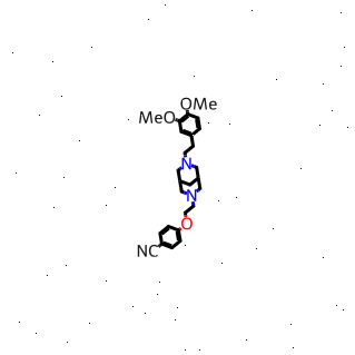 COc1ccc(CCN2CC3CC(CN(CCOc4ccc(C#N)cc4)C3)C2)cc1OC